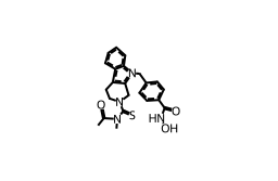 CC(=O)N(C)C(=S)N1CCc2c(n(Cc3ccc(C(=O)NO)cc3)c3ccccc23)C1